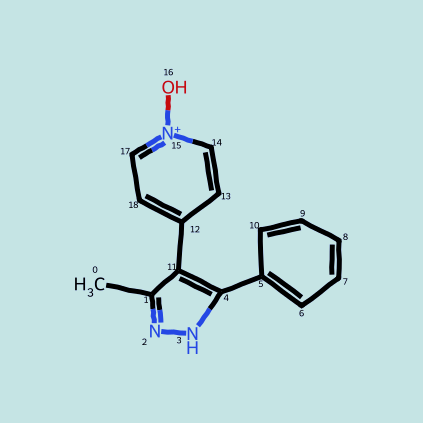 Cc1n[nH]c(-c2ccccc2)c1-c1cc[n+](O)cc1